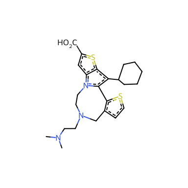 CN(C)CCN1CCn2c(c(C3CCCCC3)c3sc(C(=O)O)cc32)-c2sccc2C1